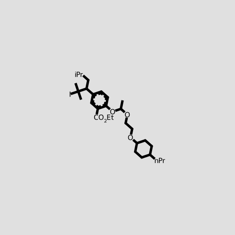 CCCC1CCC(OCCOC(C)Oc2ccc(C(CC(C)C)C(C)(C)I)cc2C(=O)OCC)CC1